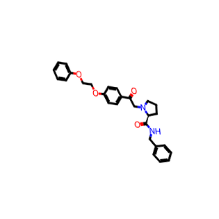 O=C(CN1CCC[C@H]1C(=O)NCc1ccccc1)c1ccc(OCCOc2ccccc2)cc1